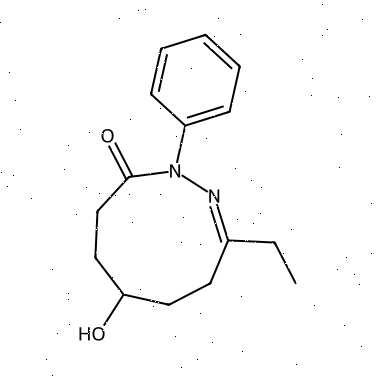 CC/C1=N/N(c2ccccc2)C(=O)CCC(O)CC1